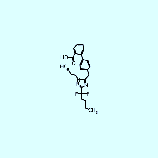 C#CCCn1nc(C(F)(F)CCCC)nc1Cc1ccc(-c2ccccc2C(=O)O)cc1